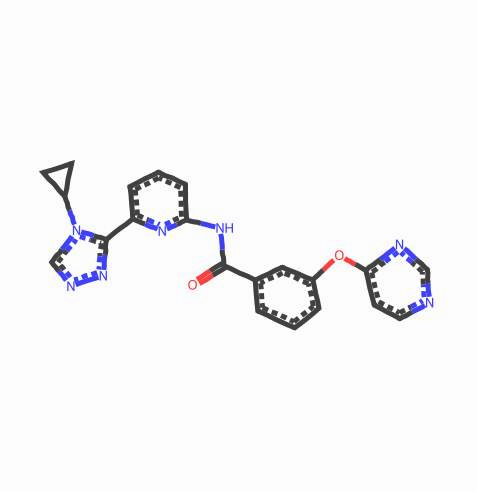 O=C(Nc1cccc(-c2nncn2C2CC2)n1)c1cccc(Oc2ccncn2)c1